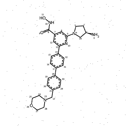 N[C@@H]1CCN(c2cc(C(=O)NO)cc(-c3ccc(-c4ccc(CN5CCOCC5)cc4)cc3)n2)C1